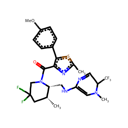 COc1ccc(-c2sc(C)nc2C(=O)N2CC(F)(F)C[C@@H](C)[C@H]2CNC2=CN(C)C(C(F)(F)F)C=N2)cc1